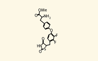 COC(=O)C(N)Cc1ccc(Oc2ccc(CC3SC(=O)NC3=O)c(F)c2F)cc1